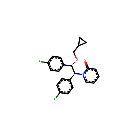 O=c1ccccn1[C@@H](c1ccc(F)cc1)[C@@H](OCC1CC1)c1ccc(F)cc1